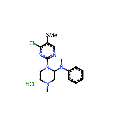 CSc1cnc(N2CCN(C)CC2N(C)c2ccccc2)nc1Cl.Cl